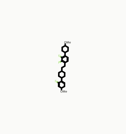 COC1C=C(F)C(C2CCC(CCc3ccc(C4CCC(OC)CC4)c(F)c3F)CC2)=CC1